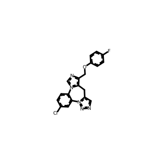 Fc1ccc(OCc2ncn3c2Cc2cnnn2-c2cc(Cl)ccc2-3)cc1